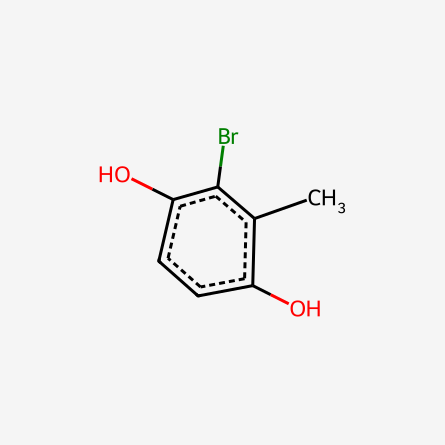 Cc1c(O)ccc(O)c1Br